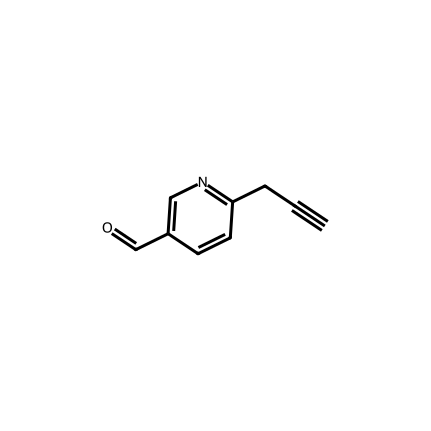 C#CCc1ccc(C=O)cn1